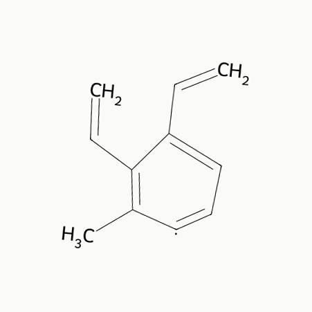 C=Cc1cc[c]c(C)c1C=C